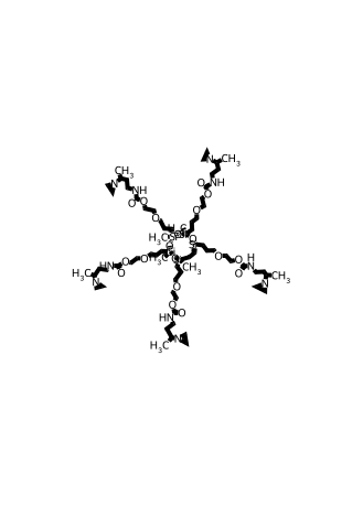 CC(CCNC(=O)OCCOCCC[Si]1=CC[Si](C)(CCCOCCOC(=O)NCCC(C)N2CC2)O[Si](C)(CCCOCCOC(=O)NCCC(C)N2CC2)O[Si](C)(CCCOCCOC(=O)NCCC(C)N2CC2)O[Si](C)(CCCOCCOC(=O)NCCC(C)N2CC2)O1)N1CC1